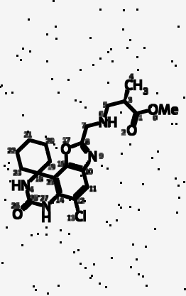 COC(=O)[C@H](C)CNCc1nc2cc(Cl)c3c(c2o1)C1(CCCCC1)NC(=O)N3